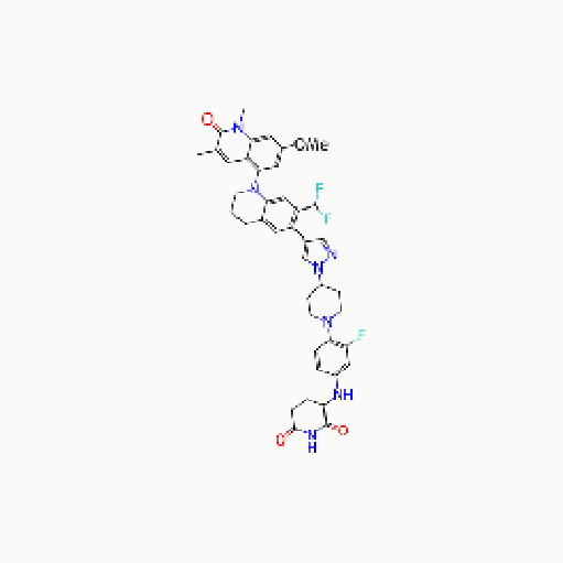 COc1cc(N2CCCc3cc(-c4cnn(C5CCN(c6ccc(NC7CCC(=O)NC7=O)cc6F)CC5)c4)c(C(F)F)cc32)c2cc(C)c(=O)n(C)c2c1